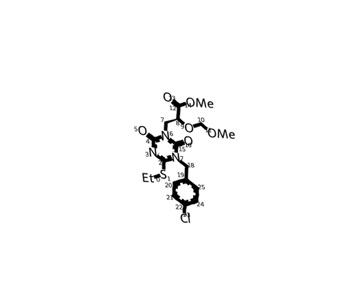 CCSc1nc(=O)n(C[C@H](OCOC)C(=O)OC)c(=O)n1Cc1ccc(Cl)cc1